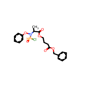 CC(C(=O)OCCCC(=O)OCc1ccccc1)N(Oc1ccccc1)[PH](=O)Cl